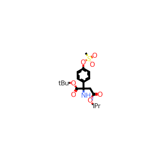 CC(C)OC(=O)CC(N)(C(=O)OC(C)(C)C)c1ccc(OS(C)(=O)=O)cc1